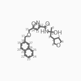 CC(O)(CC1CCOC1)NC(=O)c1cc(COCc2ccc3ccccc3c2)on1